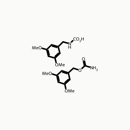 COc1cc(CNC(=O)O)cc(OC)c1.COc1cc(COC(N)=O)cc(OC)c1